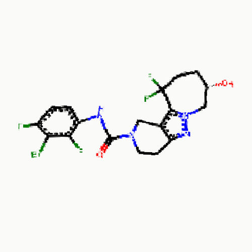 O=C(Nc1ccc(F)c(Br)c1F)N1CCc2nn3c(c2C1)C(F)(F)CC[C@H](O)C3